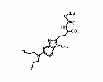 Cn1c(CC[C@@H](NC(=O)OC(C)(C)C)C(=O)O)nc2cc(N(CCCl)CCCl)ccc21